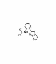 CC(C)C(=O)Nc1ccccc1C1CN2CCSC2=N1